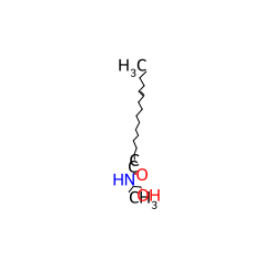 CCCCC=CCCCCCCCCCCCC(=O)NC(CC)CO